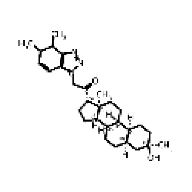 CC1C=Cc2c(nnn2CC(=O)[C@H]2CC[C@H]3[C@@H]4CC[C@@H]5C[C@](C)(O)CC[C@@H]5[C@H]4CC[C@]23C)C1C